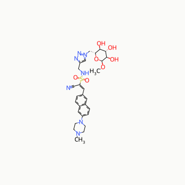 CO[C@H]1O[C@H](Cn2cc(CNS(=O)(=O)/C(C#N)=C/c3ccc4cc(N5CCN(C)CC5)ccc4c3)nn2)[C@@H](O)[C@H](O)[C@H]1O